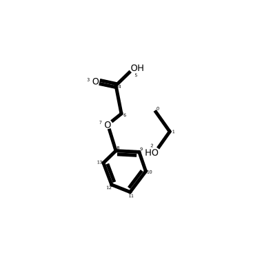 CCO.O=C(O)COc1ccccc1